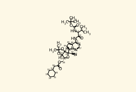 CC(C)C(NC(=O)OC(C)(C)C)C(=O)Nc1ncnn2c([C@]3(C#N)O[C@H](COC(=O)CC4CCCCC4)[C@H]4OC(C)(C)O[C@H]43)ccc12